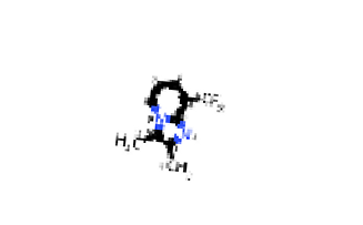 Cc1nc2c(C(F)(F)F)cccn2c1C